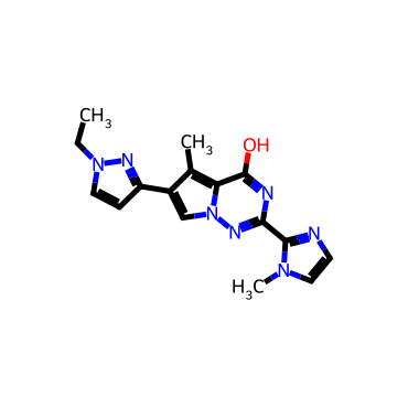 CCn1ccc(-c2cn3nc(-c4nccn4C)nc(O)c3c2C)n1